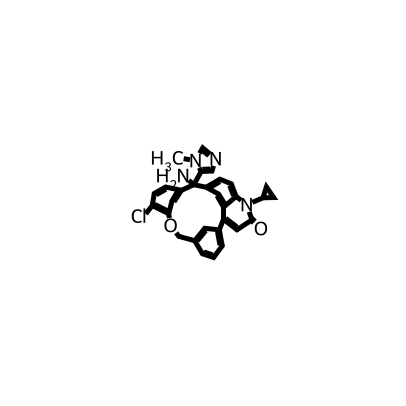 Cn1cncc1C1(N)c2ccc(Cl)c(c2)OCc2cccc(c2)-c2cc(=O)n(C3CC3)c3ccc1cc23